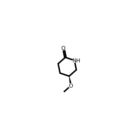 CO[C@H]1CCC(=O)NC1